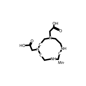 O=C(O)CN1CCNCCNCCN(CC(=O)O)CC1.[Mn]